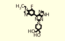 CCn1cnc2cc(-c3nc(N4CCC(CO)(CO)CC4)nc4[nH]cnc34)cc(F)c21